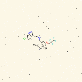 CN(CCc1c[nH]c2cc(Cl)ccc12)Cc1cccc(OCC(F)(F)C(F)F)c1.O=C(O)/C=C\C(=O)O